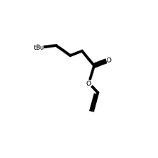 C=COC(=O)CCCC(C)(C)C